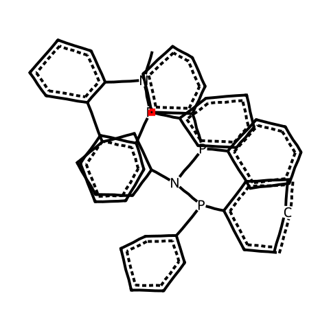 CN(c1ccccc1C1CCCC(N(P(c2ccccc2)c2ccccc2)P(c2ccccc2)c2ccccc2)C1)P(c1ccccc1)c1ccccc1